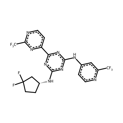 FC1(F)CC[C@@H](Nc2nc(Nc3ccnc(C(F)(F)F)c3)nc(-c3ccnc(C(F)(F)F)n3)n2)C1